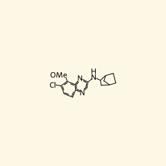 COc1c(Cl)ccc2ncc(NC3CC4CCC3C4)nc12